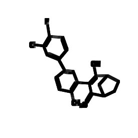 Cc1ccc(-c2ccc(F)c(Cl)c2)cc1C1=C(O)C2CCC(C2)C1=O